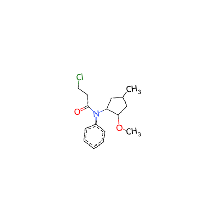 COC1CC(C)CC1N(C(=O)CCCl)c1ccccc1